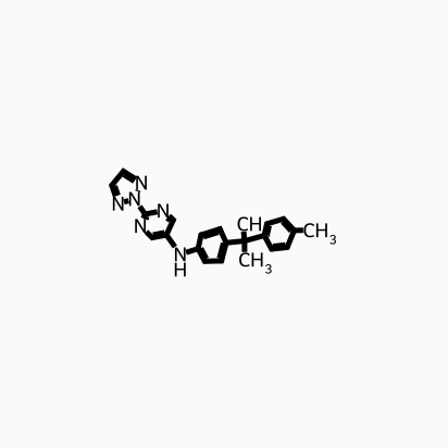 Cc1ccc(C(C)(C)c2ccc(Nc3cnc(-n4nccn4)nc3)cc2)cc1